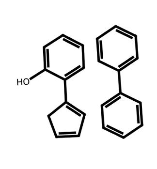 Oc1ccccc1C1=CC=CC1.c1ccc(-c2ccccc2)cc1